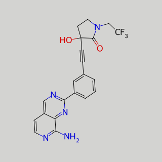 Nc1nccc2cnc(-c3cccc(C#CC4(O)CCN(CC(F)(F)F)C4=O)c3)nc12